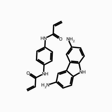 C=CC(=O)Nc1ccc(NC(=O)C=C)cc1.Nc1ccc2[nH]c3ccc(N)cc3c2c1